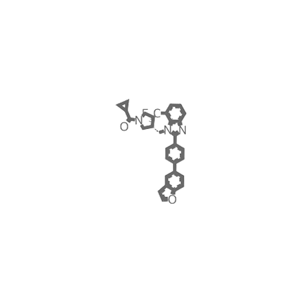 O=C(C1CC1)N1CC[C@H](Cn2c(-c3ccc(-c4ccc5occc5c4)cc3)nc3cccc(C(F)(F)F)c32)C1